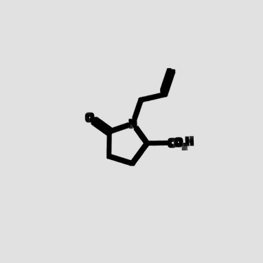 C=CCN1C(=O)CCC1C(=O)O